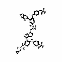 O=S(=O)(NCC1CC1)c1ccc(Oc2ccc(C(F)(F)F)cc2)c(-c2cnn3c2CCC3CNS(=O)(=O)c2ccc(Oc3ccc(CC(F)(F)F)cc3)c(-c3cn4c(n3)CCC4)c2)c1